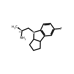 C[C@H](N)CN1c2ccc(F)cc2C2CCCC21